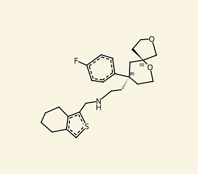 Fc1ccc([C@]2(CCNCc3scc4c3CCCC4)CCO[C@]3(CCOC3)C2)cc1